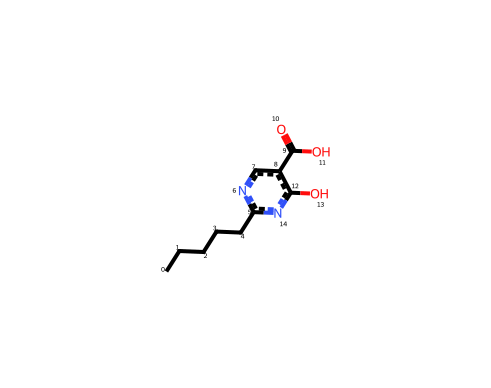 CCCCCc1ncc(C(=O)O)c(O)n1